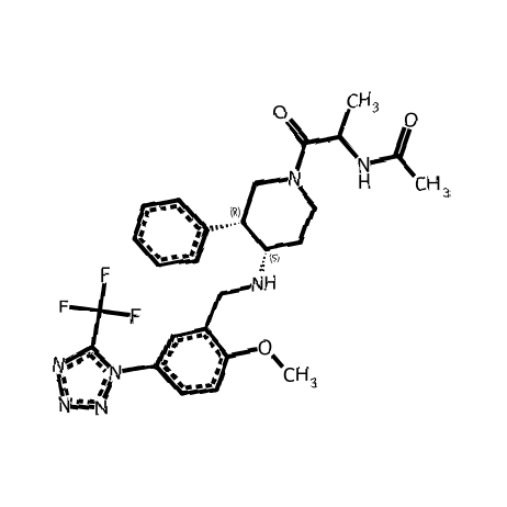 COc1ccc(-n2nnnc2C(F)(F)F)cc1CN[C@H]1CCN(C(=O)C(C)NC(C)=O)C[C@H]1c1ccccc1